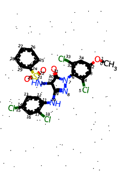 COc1cc(Cl)c(N2N=C(Nc3ccc(Cl)cc3Cl)C(NS(=O)(=O)c3ccccc3)C2=O)c(Cl)c1